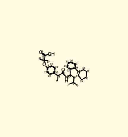 CC(C)CC(NC(=O)C(C)c1ccc(OC(C)(C)C(=O)O)cc1)c1ccccc1N1CCCCC1